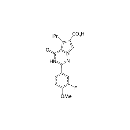 COc1ccc(-c2nn3cc(C(=O)O)c(C(C)C)c3c(=O)[nH]2)cc1F